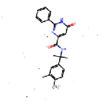 Cc1cc(C(C)(C)NC(=O)c2cc(=O)[nH]c(-c3ccccc3)n2)ccc1C(=O)O